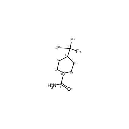 NC(=O)N1CCC(C(F)(F)F)CC1